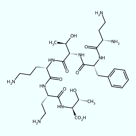 C[C@@H](O)[C@H](NC(=O)[C@H](CCN)NC(=O)[C@H](CCCN)NC(=O)[C@@H](NC(=O)[C@@H](Cc1ccccc1)NC(=O)[C@@H](N)CCN)[C@@H](C)O)C(=O)O